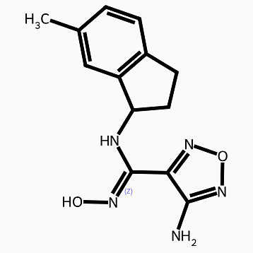 Cc1ccc2c(c1)C(N/C(=N\O)c1nonc1N)CC2